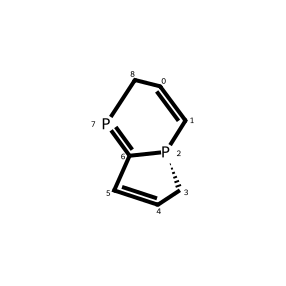 C1=C[P@]2CC=CC2=PC1